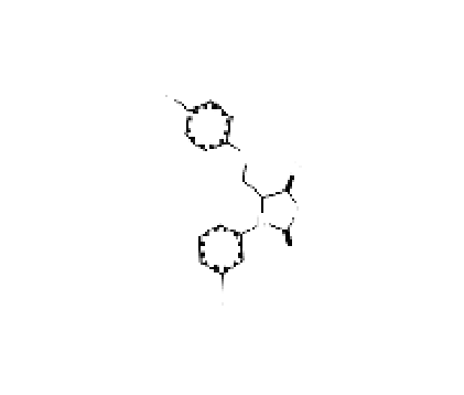 Cc1ccc(OCC2C(=O)NC(=O)N2c2cccc(Br)c2)cc1